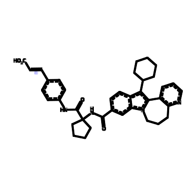 O=C(O)/C=C/c1ccc(NC(=O)C2(NC(=O)c3ccc4c(C5CCCCC5)c5n(c4c3)CCCc3ncccc3-5)CCCC2)cc1